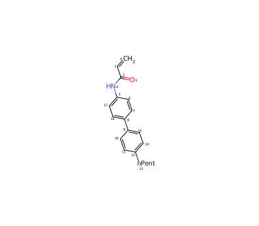 C=CC(=O)Nc1ccc(-c2ccc(CCCCC)cc2)cc1